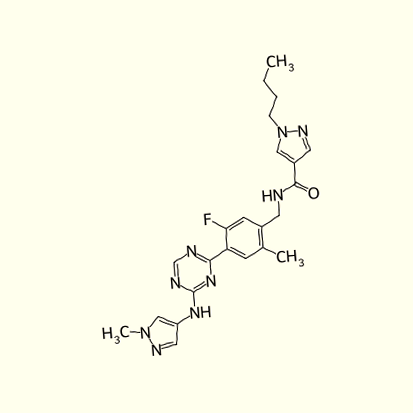 CCCCn1cc(C(=O)NCc2cc(F)c(-c3ncnc(Nc4cnn(C)c4)n3)cc2C)cn1